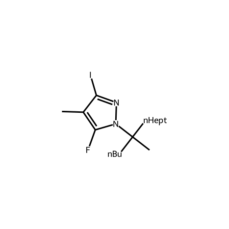 CCCCCCCC(C)(CCCC)n1nc(I)c(C)c1F